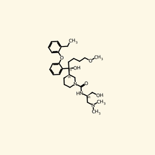 CCc1ccccc1Oc1ccccc1[C@](O)(CCCCOC)[C@@H]1CCCN(C(=O)N[C@@H](CO)CN(C)C)C1